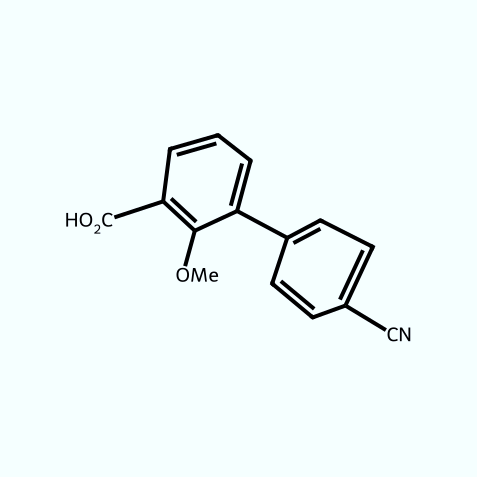 COc1c(C(=O)O)cccc1-c1ccc(C#N)cc1